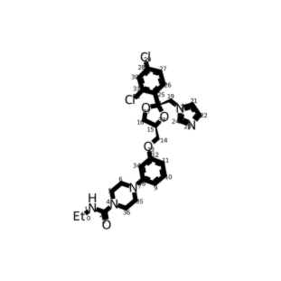 CCNC(=O)N1CCN(c2cccc(OC[C@H]3CO[C@](Cn4ccnc4)(c4ccc(Cl)cc4Cl)O3)c2)CC1